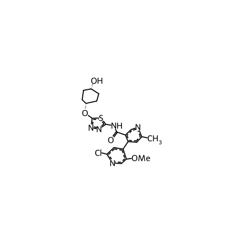 COc1cnc(Cl)cc1-c1cc(C)ncc1C(=O)Nc1nnc(O[C@H]2CC[C@@H](O)CC2)s1